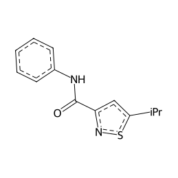 CC(C)c1cc(C(=O)Nc2ccccc2)ns1